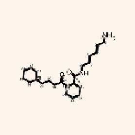 NCCCCCCNC(=O)C1CCCCN1C(=O)CCCC1CCCCC1